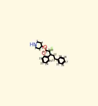 O=C(OC1CCNCC1)C(F)C(CCc1ccccc1)c1ccccc1